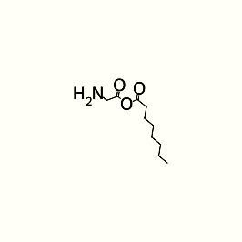 CCCCCCCC(=O)OC(=O)CN